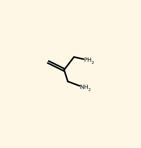 C=C(CN)CP